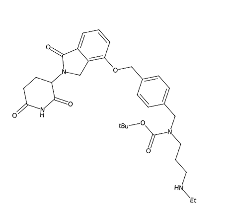 CCNCCCN(Cc1ccc(COc2cccc3c2CN(C2CCC(=O)NC2=O)C3=O)cc1)C(=O)OC(C)(C)C